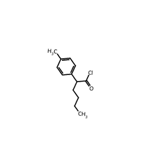 CCCCC(C(=O)Cl)c1ccc(C)cc1